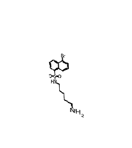 NCCCCCNS(=O)(=O)c1cccc2c(Br)cccc12